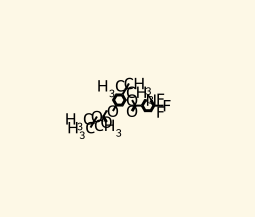 CC(C)(C)OC(=O)COc1ccc(C(C)(C)C)c(OC(=O)c2ccc(C(F)(F)F)nc2)c1